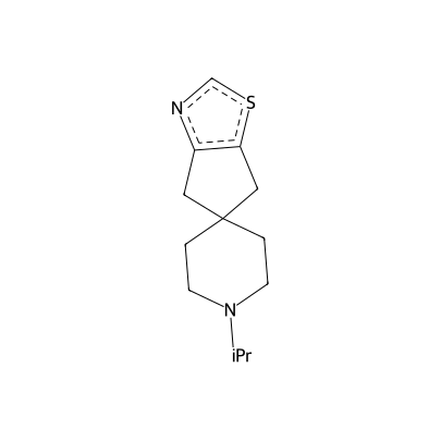 CC(C)N1CCC2(CC1)Cc1ncsc1C2